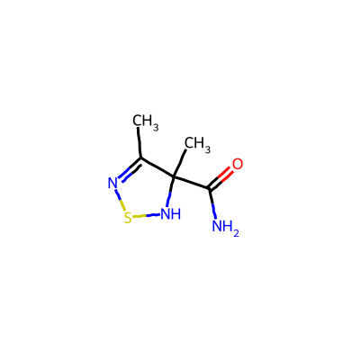 CC1=NSNC1(C)C(N)=O